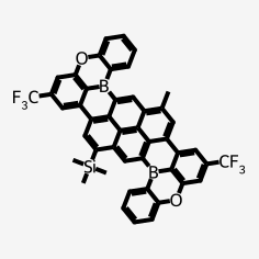 Cc1cc2c3c(cc4c([Si](C)(C)C)cc5c6c(cc1c3c46)B1c3ccccc3Oc3cc(C(F)(F)F)cc-5c31)B1c3ccccc3Oc3cc(C(F)(F)F)cc-2c31